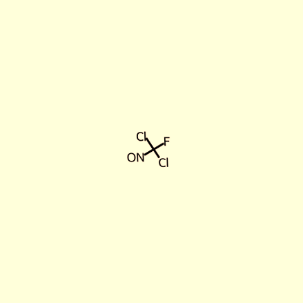 O=NC(F)(Cl)Cl